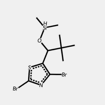 C[SiH](C)OC(c1sc(Br)nc1Br)C(C)(C)C